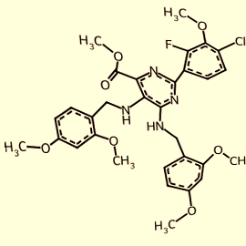 COC(=O)c1nc(-c2ccc(Cl)c(OC)c2F)nc(NCc2ccc(OC)cc2OC)c1NCc1ccc(OC)cc1OC